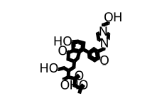 COc1ccc(-c2ccc(O)c3c2CC(CC(CCO)C(CO)C(=O)CC(C)=O)CC3=O)cc1CN1CCN(CCO)CC1